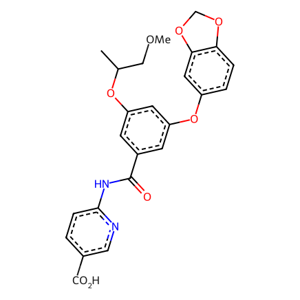 COCC(C)Oc1cc(Oc2ccc3c(c2)OCO3)cc(C(=O)Nc2ccc(C(=O)O)cn2)c1